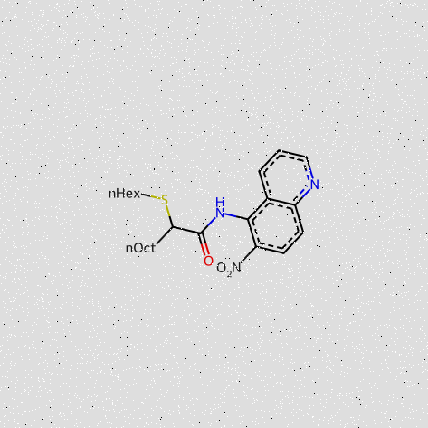 CCCCCCCCC(SCCCCCC)C(=O)Nc1c([N+](=O)[O-])ccc2ncccc12